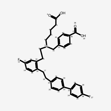 O=C(O)CCCCN(CCc1cc(F)ccc1CCc1ccc(-c2ccc(F)cc2)cc1)Cc1ccc(C(=O)O)cc1